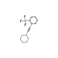 FC(F)(F)c1ccccc1C#CC1CCCCC1